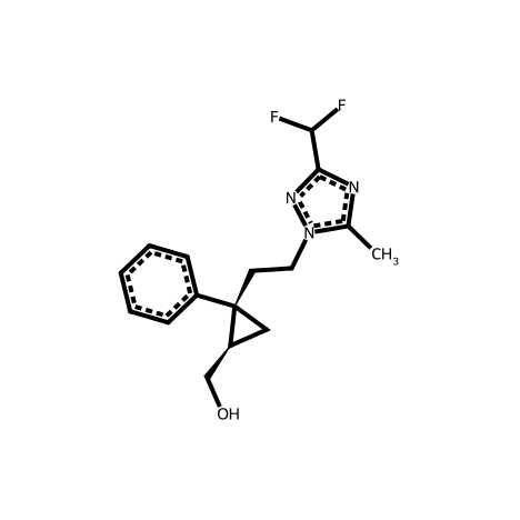 Cc1nc(C(F)F)nn1CC[C@@]1(c2ccccc2)C[C@H]1CO